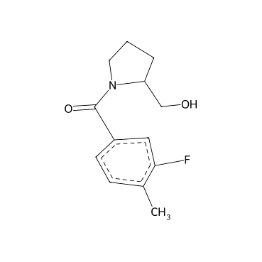 Cc1ccc(C(=O)N2CCCC2CO)cc1F